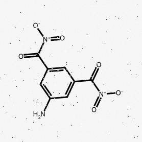 Nc1cc(C(=O)[N+](=O)[O-])cc(C(=O)[N+](=O)[O-])c1